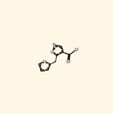 O=C(Cl)c1cnoc1Cc1ccco1